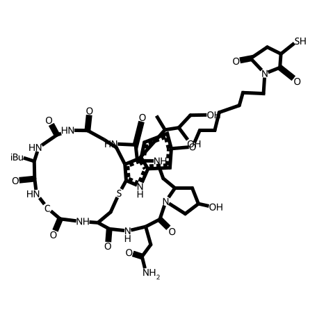 CCC(C)C1NC(=O)NC(=O)C2Cc3c([nH]c4cc(OCCCCCCN5C(=O)CC(S)C5=O)ccc34)SCC(NC(=O)CNC1=O)C(=O)NC(CC(N)=O)C(=O)N1CC(O)CC1CNC(C(C)C(O)CO)C(=O)N2